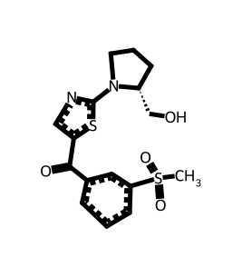 CS(=O)(=O)c1cccc(C(=O)c2cnc(N3CCC[C@@H]3CO)s2)c1